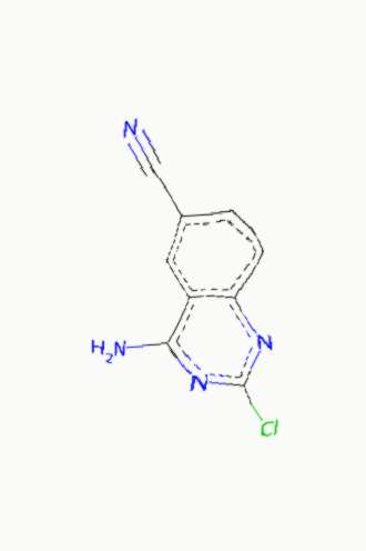 N#Cc1ccc2nc(Cl)nc(N)c2c1